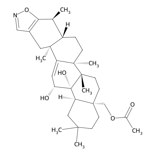 CC(=O)OC[C@]12CCC(C)(C)C[C@H]1[C@@]1(O)[C@H](O)C=C3[C@@]4(C)Cc5cnoc5[C@@H](C)[C@@H]4CC[C@@]3(C)[C@]1(C)CC2